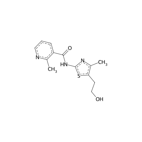 Cc1ncccc1C(=O)Nc1nc(C)c(CCO)s1